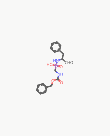 O=CC(Cc1ccccc1)NP(=O)(O)CNC(=O)OCc1ccccc1